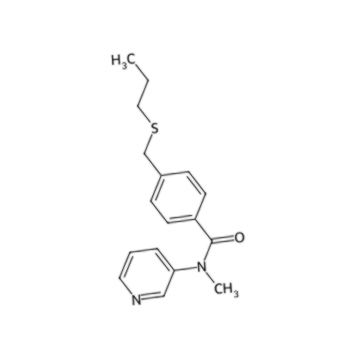 CCCSCc1ccc(C(=O)N(C)c2cccnc2)cc1